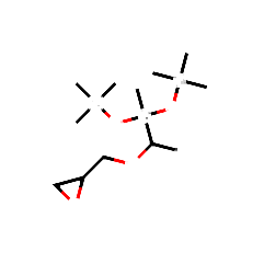 CCC(OCC1CO1)[Si](C)(O[Si](C)(C)C)O[Si](C)(C)C